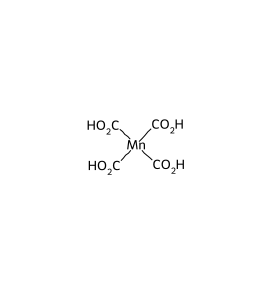 O=[C](O)[Mn]([C](=O)O)([C](=O)O)[C](=O)O